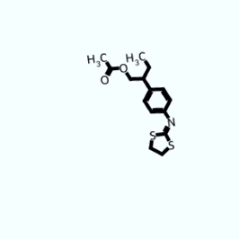 CCC(COC(C)=O)c1ccc(N=C2SCCS2)cc1